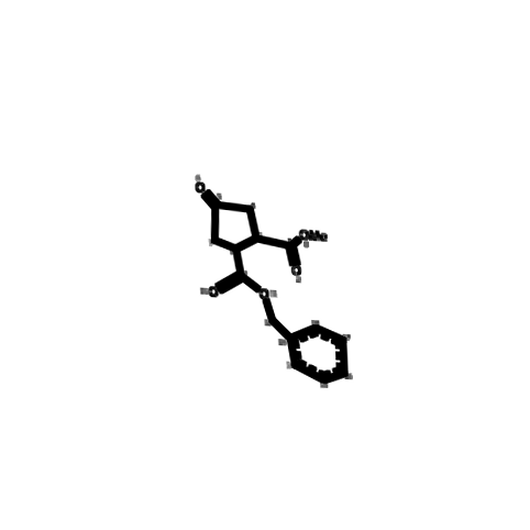 COC(=O)C1CC(=O)CC1C(=O)OCc1ccccc1